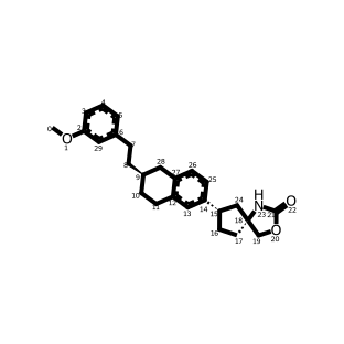 COc1cccc(CC[C@@H]2CCc3cc([C@H]4CC[C@]5(COC(=O)N5)C4)ccc3C2)c1